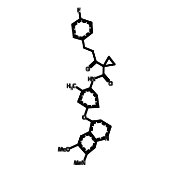 CNc1cc2nccc(Oc3ccc(NC(=O)C4(C(=O)CCc5ccc(F)cc5)CC4)c(C)c3)c2cc1OC